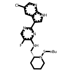 CCCCSN1CCCC[C@@H]1CNc1nc(-c2c[nH]c3ncc(Cl)cc23)ncc1F